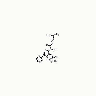 CC(C)CCCC(=O)N(O)C(=O)N(CC(C)(C)C)C(=O)Nc1ccccn1